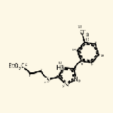 CCOC(=O)CCSc1nnc(-c2cccc(C(F)(F)F)c2)[nH]1